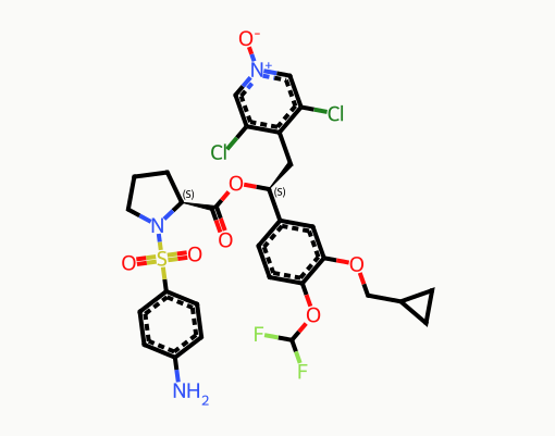 Nc1ccc(S(=O)(=O)N2CCC[C@H]2C(=O)O[C@@H](Cc2c(Cl)c[n+]([O-])cc2Cl)c2ccc(OC(F)F)c(OCC3CC3)c2)cc1